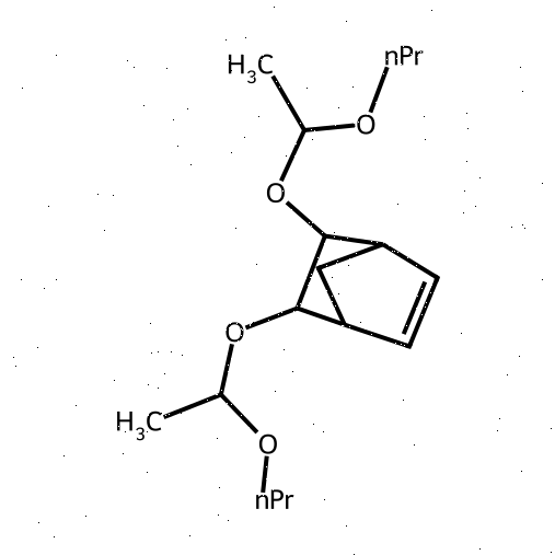 CCCOC(C)OC1C2C=CC(C2)C1OC(C)OCCC